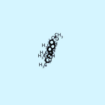 CC(=O)O[C@H]1CC[C@]2(C)C3C=C[C@]4(C)C5[C@H](C[C@H]4[C@@H]3CC[C@H]2C1)O[C@]1(CCC(C)CO1)[C@H]5C